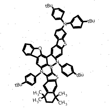 CC(C)(C)c1ccc(N2B3c4sc5cc6c(cc5c4N(c4ccc(C(C)(C)C)cc4)c4cc5c(oc7ccccc75)c(c43)-c3cc4c(cc32)sc2cc(N(c3ccc(C(C)(C)C)cc3)c3ccc(C(C)(C)C)cc3)ccc24)C(C)(C)CCC6(C)C)cc1